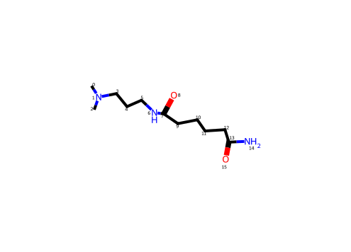 CN(C)CCCNC(=O)CCCCC(N)=O